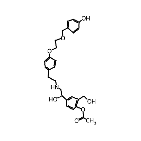 CC(=O)Oc1ccc([C@@H](O)CNCCc2ccc(OCCOCc3ccc(O)cc3)cc2)cc1CO